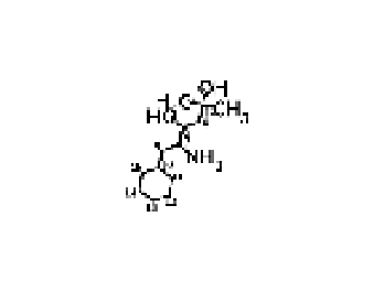 CC(C)(O)C[C@H](O)[C@@H](N)CC1CCCCC1